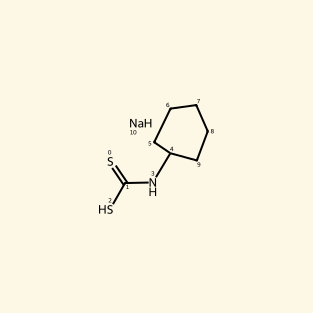 S=C(S)NC1CCCCC1.[NaH]